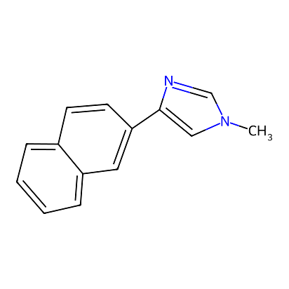 Cn1cnc(-c2ccc3ccccc3c2)c1